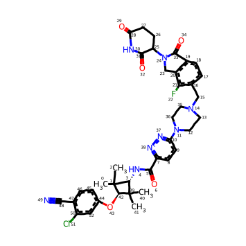 CC1(C)[C@H](NC(=O)c2ccc(N3CCN(Cc4ccc5c(c4F)CN(C4CCC(=O)NC4=O)C5=O)CC3)nn2)C(C)(C)[C@H]1Oc1ccc(C#N)c(Cl)c1